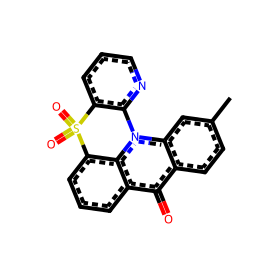 Cc1ccc2c(=O)c3cccc4c3n(c2c1)-c1ncccc1S4(=O)=O